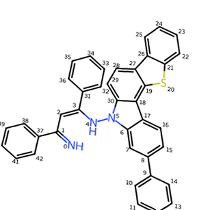 N=C(/C=C(\Nn1c2cc(-c3ccccc3)ccc2c2c3sc4ccccc4c3ccc21)c1ccccc1)c1ccccc1